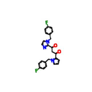 O=C(CC(=O)c1nccn1Cc1ccc(F)cc1)c1cccn1Cc1ccc(F)cc1